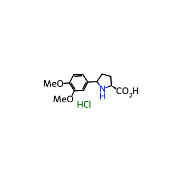 COc1ccc(C2CC[C@@H](C(=O)O)N2)cc1OC.Cl